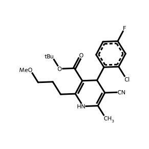 COCCCC1=C(C(=O)OC(C)(C)C)C(c2ccc(F)cc2Cl)C(C#N)=C(C)N1